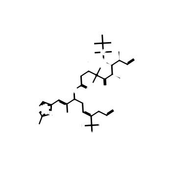 C=CC/C(=C\CC(OC(=O)C[C@H](C)C(C)(C)C(=O)[C@H](C)[C@@H](O[Si](C)(C)C(C)(C)C)[C@@H](C)C=C)/C(C)=C/c1csc(C)n1)C(F)(F)F